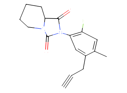 C#CCc1cc(N2C(=O)C3CCCCN3C2=O)c(F)cc1C